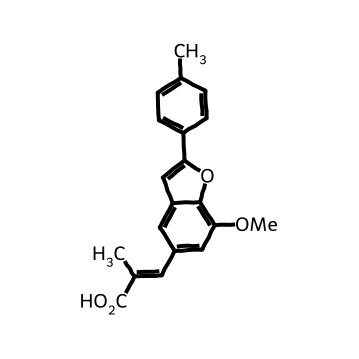 COc1cc(C=C(C)C(=O)O)cc2cc(-c3ccc(C)cc3)oc12